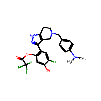 CN(C)c1ccc(CN2CCc3[nH]nc(-c4cc(Cl)c(O)cc4OC(=O)C(F)(F)F)c3C2)cc1